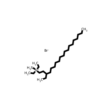 CCCCCCCCCCCCCCCCC(CC)CC[N+]([SiH3])(CC)CC.[Br-]